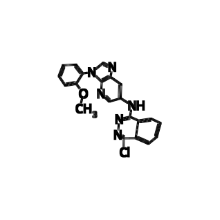 COc1ccccc1-n1cnc2cc(Nc3nnc(Cl)c4ccccc34)cnc21